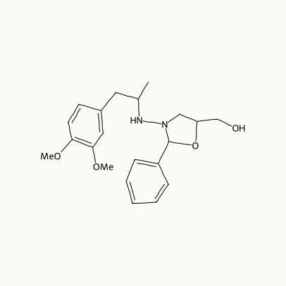 COc1ccc(CC(C)NN2CC(CO)OC2c2ccccc2)cc1OC